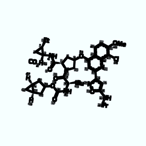 CC[C@@H]1C[C@]1(NC(=O)[C@@H]1C[C@@H](Oc2cc(-c3cc(NC(C)C)on3)nc3c(Cl)c(OC)ccc23)CN1C(=O)[C@@H](NC(=O)O[C@@H]1C[C@@H]2C[C@@H]2C1)C(C)(C)C)C(=O)O